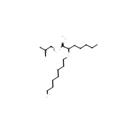 CCCCCC(SCCCCCCCF)C(=O)OCC(C)C